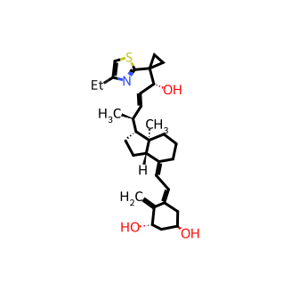 C=C1/C(=C\C=C2/CCC[C@]3(C)[C@@H]([C@@H](C)/C=C/[C@@H](O)C4(c5nc(CC)cs5)CC4)CC[C@@H]23)C[C@@H](O)C[C@@H]1O